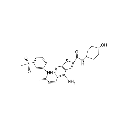 C=C(/N=C\c1ccc2sc(C(=O)NC3CCC(O)CC3)cc2c1N)Nc1cccc(S(C)(=O)=O)c1